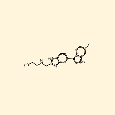 OCCNCc1nc2cc(-c3c[nH]c4cc(F)ccc34)ccc2[nH]1